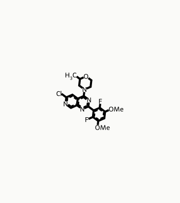 COc1cc(OC)c(F)c(-c2nc(N3CCOC(C)C3)c3cc(Cl)ncc3n2)c1F